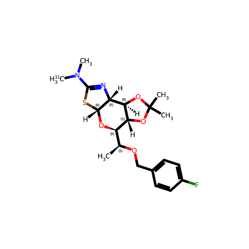 C[C@H](OCc1ccc(F)cc1)[C@H]1O[C@@H]2SC(N(C)[11CH3])=N[C@@H]2[C@H]2OC(C)(C)O[C@@H]21